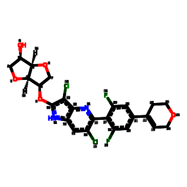 O[C@@H]1CO[C@H]2[C@@H]1OC[C@H]2Oc1[nH]c2cc(Cl)c(-c3c(F)cc(C4=CCOCC4)cc3F)nc2c1Cl